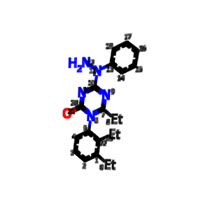 CCc1cccc(-n2c(CC)nc(N(N)c3ccccc3)nc2=O)c1CC